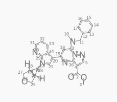 COC(=O)c1cnn2c(N(C)Cc3ccccc3)cc(-c3cn([C@H]4[C@@H]5COC[C@@H]54)c4ncccc34)nc12